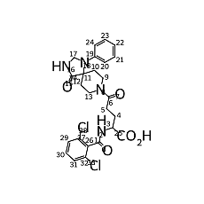 O=C(NC(CCC(=O)N1CCC2(CC1)C(=O)NCN2c1ccccc1)C(=O)O)c1c(Cl)cccc1Cl